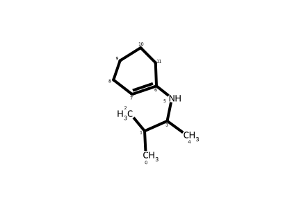 CC(C)C(C)NC1=CCCCC1